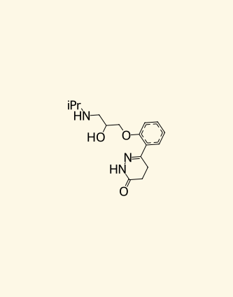 CC(C)NCC(O)COc1ccccc1C1=NNC(=O)CC1